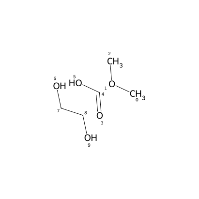 COC.O=CO.OCCO